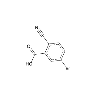 N#Cc1ccc(Br)cc1C(=O)O